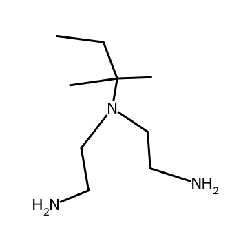 CCC(C)(C)N(CCN)CCN